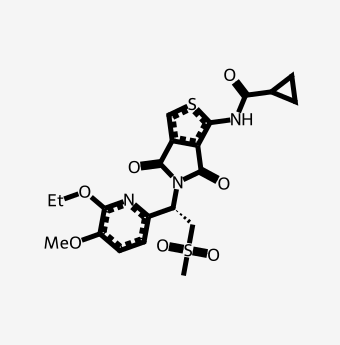 CCOc1nc([C@@H](CS(C)(=O)=O)N2C(=O)c3csc(NC(=O)C4CC4)c3C2=O)ccc1OC